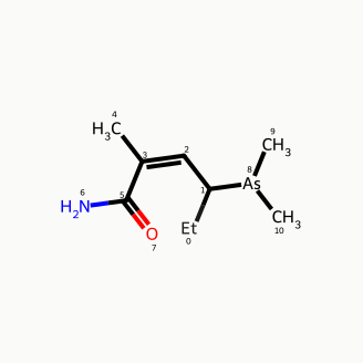 CCC(C=C(C)C(N)=O)[As](C)C